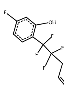 C=CCC(F)(F)C(F)(F)c1ccc(F)cc1O